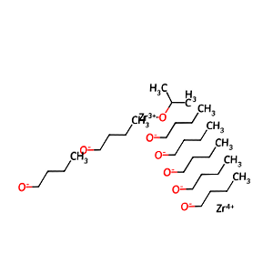 CC(C)[O][Zr+3].CCCC[O-].CCCC[O-].CCCC[O-].CCCC[O-].CCCC[O-].CCCC[O-].CCCC[O-].[Zr+4]